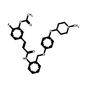 CC(=O)Oc1cc(C=CC(=O)Nc2ccccc2COc2ccc(OC3CCN(C)CC3)cc2)ccc1F